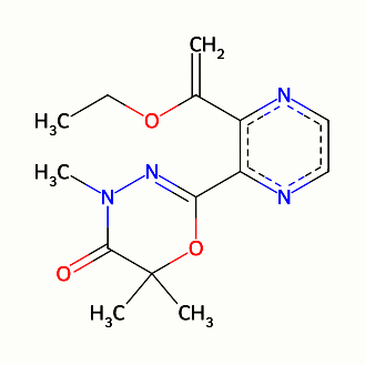 C=C(OCC)c1nccnc1C1=NN(C)C(=O)C(C)(C)O1